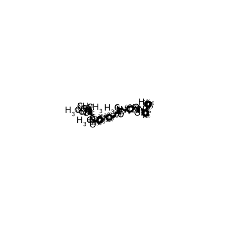 CN(CCN1CCC(OC(=O)Nc2ccccc2-c2ccccc2)CC1)C(=O)CCC1CCN(c2ccc(C(=O)N(C)CCCN(C)C(=O)OC(C)(C)C)cc2)CC1